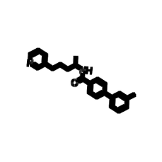 Cc1cccc(-c2ccc(C(=O)NC(C)CCCc3cccnc3)cc2)c1